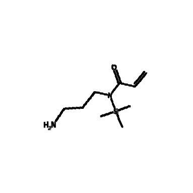 C=CC(=O)N(CCCN)[Si](C)(C)C